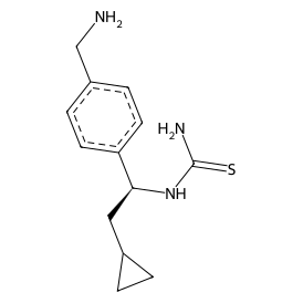 NCc1ccc([C@H](CC2CC2)NC(N)=S)cc1